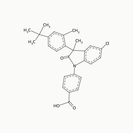 Cc1cc(C(C)(C)C)ccc1C1(C)C(=O)N(c2ccc(C(=O)O)cc2)c2ccc(Cl)cc21